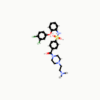 CCN(CC)CCN1CCN(C(=O)c2ccc(S(=O)(=O)Nc3ccccc3Oc3ccc(Cl)c(Cl)c3)cc2)CC1